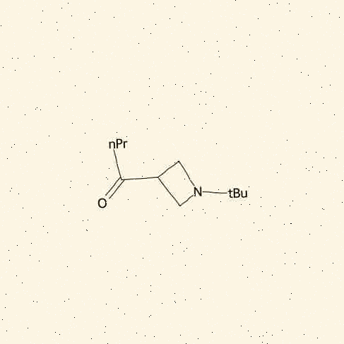 CCCC(=O)C1CN(C(C)(C)C)C1